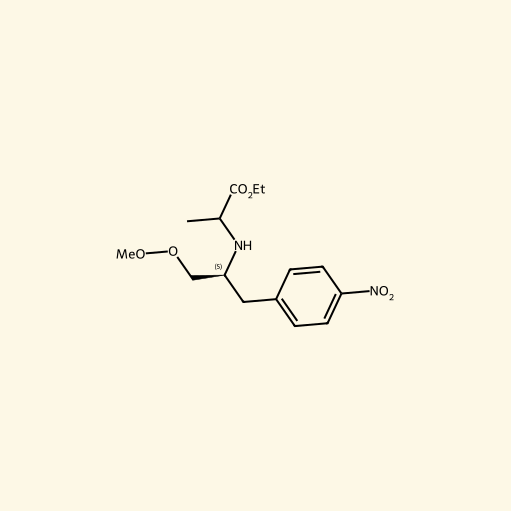 CCOC(=O)C(C)N[C@H](COOC)Cc1ccc([N+](=O)[O-])cc1